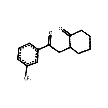 O=C(CC1CCCCC1=O)c1cccc(C(F)(F)F)c1